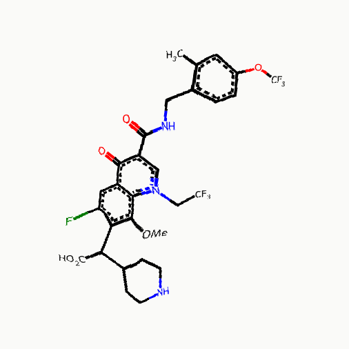 COc1c(C(C(=O)O)C2CCNCC2)c(F)cc2c(=O)c(C(=O)NCc3ccc(OC(F)(F)F)cc3C)cn(CC(F)(F)F)c12